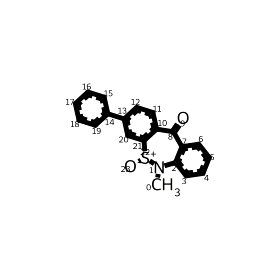 CN1c2ccccc2C(=O)c2ccc(-c3ccccc3)cc2[S+]1[O-]